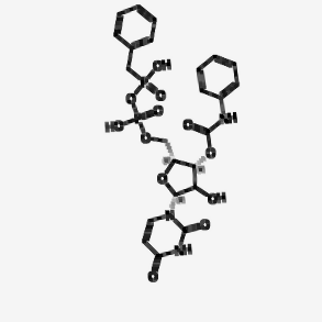 O=C(Nc1ccccc1)O[C@@H]1C(O)[C@H](n2ccc(=O)[nH]c2=O)O[C@@H]1COP(=O)(O)OP(=O)(O)Cc1ccccc1